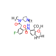 CCN1CC[C@H](N(C)C(=O)Cc2cc(F)ccc2S(=O)(=O)Nc2ccc3c(c2C(=O)O)OC[C@@H]2C[C@H]32)C1